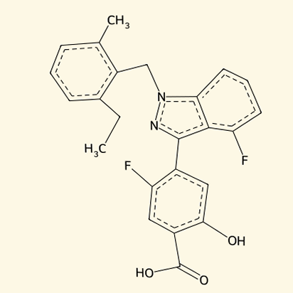 CCc1cccc(C)c1Cn1nc(-c2cc(O)c(C(=O)O)cc2F)c2c(F)cccc21